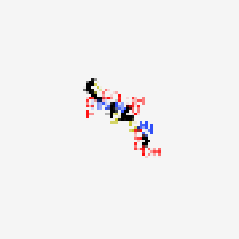 O=C(O)Cc1nnc(SCC2=C(C(=O)O)N3C(=O)C(NC(=O)C(O)c4cccs4)[C@@H]3SC2)o1